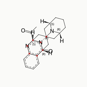 CC(=O)c1nc2ccccc2c(=O)n1[C@H]1C[C@H]2CCC[C@@H](C1)N2C1C[C@H]2CCC[C@@H](C1)C2